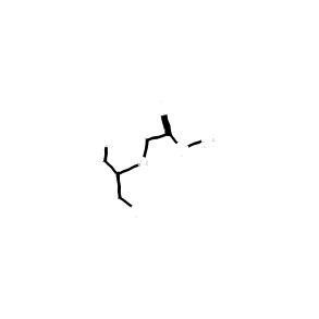 CCOC(=O)CC(CC(=O)O)NCC(=O)OC(C)(C)C